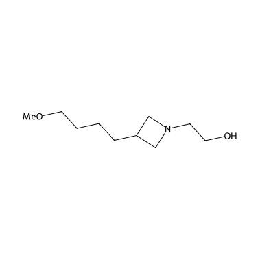 COCCCCC1CN(CCO)C1